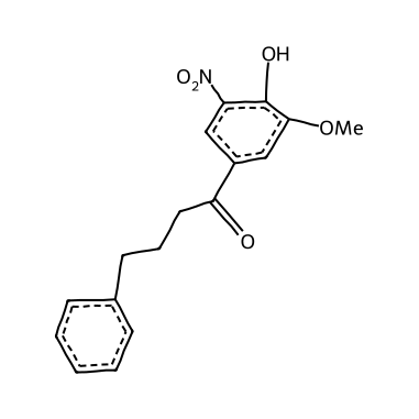 COc1cc(C(=O)CCCc2ccccc2)cc([N+](=O)[O-])c1O